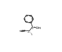 C[C@H](C#N)[C@H](O)c1ccccc1